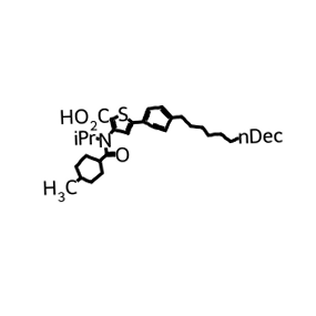 CCCCCCCCCCCCCCCCc1ccc(-c2cc(N(C(=O)C3CCC(C)CC3)C(C)C)c(C(=O)O)s2)cc1